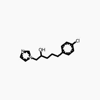 OC(CCCc1ccc(Cl)cc1)Cn1ccnc1